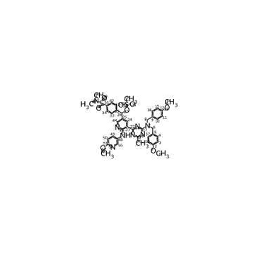 COc1ccc(CN(Cc2ccc(OC)cc2)c2nc(C)nc(-c3cc(C(OS(C)(=O)=O)c4ccc(S(=O)(=O)N(C)C)cc4)cnc3Nc3ccc(OC)nc3)n2)cc1